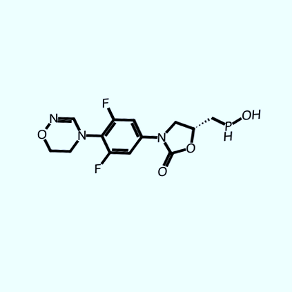 O=C1O[C@@H](CPO)CN1c1cc(F)c(N2C=NOCC2)c(F)c1